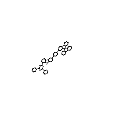 c1ccc(-c2nc(-c3ccccc3)nc(-c3cccc4c3oc3ccc(-c5ccc(-c6ccc7c(c6)C6(c8ccccc8-c8ccccc86)c6ccccc6-7)cc5)cc34)n2)cc1